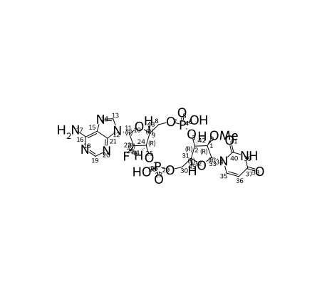 CO[C@@H]1[C@@H]2OP(=O)(O)OC[C@H]3O[C@@H](n4cnc5c(N)ncnc54)[C@H](F)[C@@H]3OP(=O)(O)OC[C@H]2O[C@H]1n1ccc(=O)[nH]c1=O